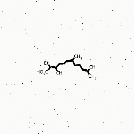 CCC(C(=O)O)=C(C)CCC=C(C)CCC=C(C)C